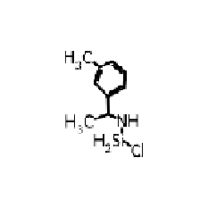 Cc1cccc(C(C)N[SiH2]Cl)c1